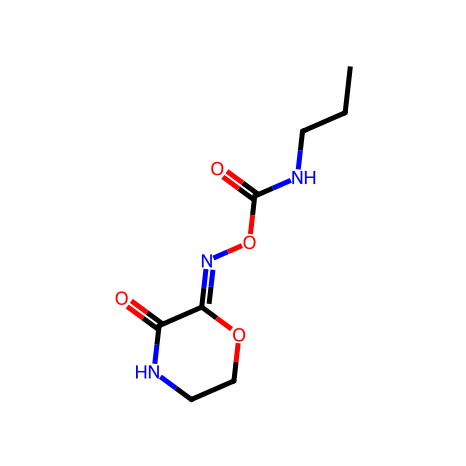 CCCNC(=O)ON=C1OCCNC1=O